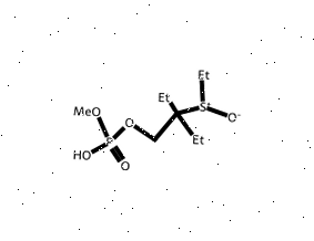 CC[S+]([O-])C(CC)(CC)COP(=O)(O)OC